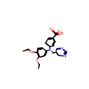 CCOc1ccc(N(Cc2cncnc2)c2ccc(C(=O)O)cc2)cc1OCC